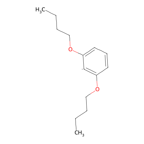 CCCCOc1[c]c(OCCCC)ccc1